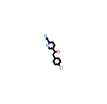 N#Cc1ccc(C(=O)Cc2ccc(Cl)cc2)cn1